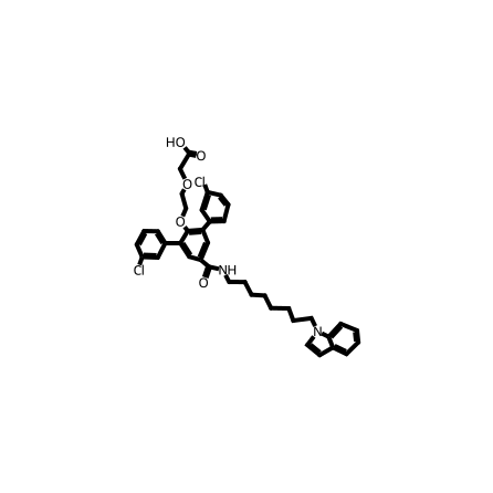 O=C(O)COCCOc1c(-c2cccc(Cl)c2)cc(C(=O)NCCCCCCCCn2ccc3ccccc32)cc1-c1cccc(Cl)c1